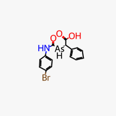 O=C(Nc1ccc(Br)cc1)[AsH][C@H](C(=O)O)c1ccccc1